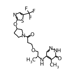 Cc1c(N[C@@H](C)COCCC(=O)N2CCC(Oc3ncc(C(F)(F)F)s3)C2)cn[nH]c1=O